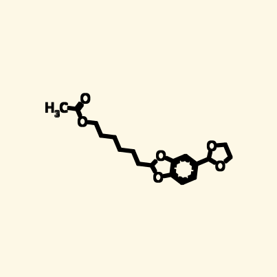 CC(=O)OCCCCCCC1Oc2ccc(C3OCCO3)cc2O1